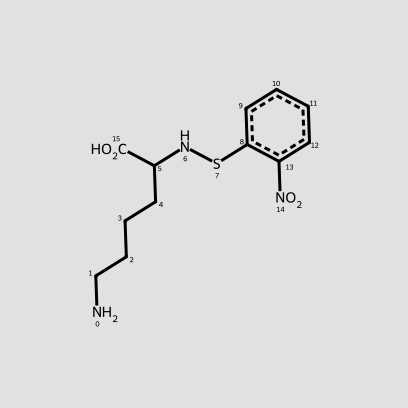 NCCCCC(NSc1ccccc1[N+](=O)[O-])C(=O)O